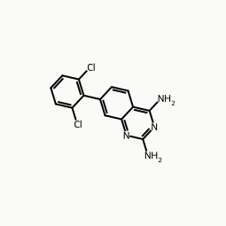 Nc1nc(N)c2ccc(-c3c(Cl)cccc3Cl)cc2n1